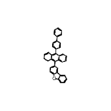 C1=Cc2c(c(-c3ccc4oc5ccccc5c4c3)c3ccccc3c2-c2ccc(-c3ccccc3)cc2)CC1